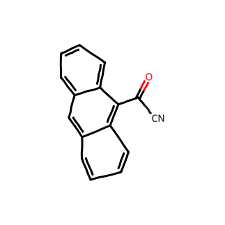 N#CC(=O)c1c2ccccc2cc2ccccc12